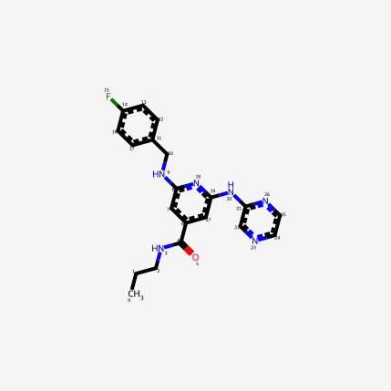 CCCNC(=O)c1cc(NCc2ccc(F)cc2)nc(Nc2cnccn2)c1